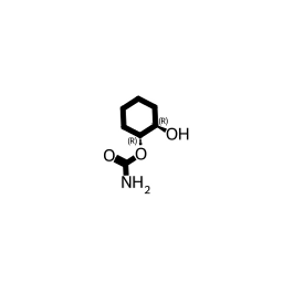 NC(=O)O[C@@H]1CCCC[C@H]1O